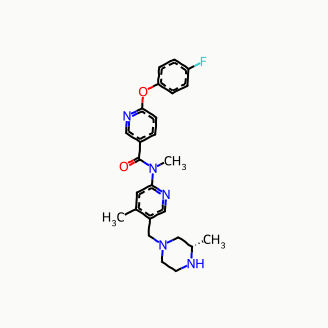 Cc1cc(N(C)C(=O)c2ccc(Oc3ccc(F)cc3)nc2)ncc1CN1CCN[C@@H](C)C1